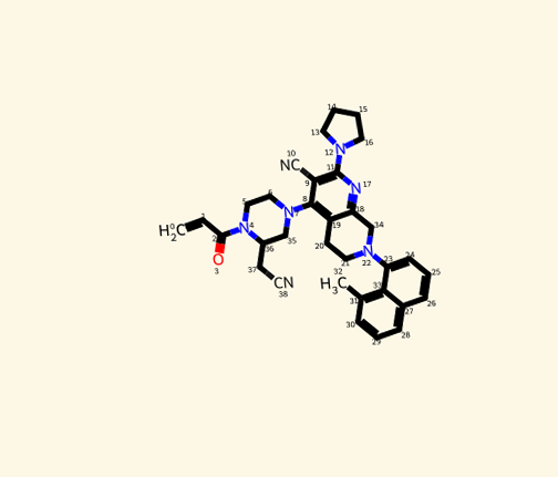 C=CC(=O)N1CCN(c2c(C#N)c(N3CCCC3)nc3c2CCN(c2cccc4cccc(C)c24)C3)CC1CC#N